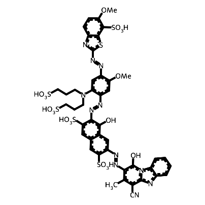 COc1cc(N=Nc2c(S(=O)(=O)O)cc3cc(S(=O)(=O)O)c(N=Nc4c(C)c(C#N)c5nc6ccccc6n5c4O)cc3c2O)c(N(CCCS(=O)(=O)O)CCCS(=O)(=O)O)cc1N=Nc1nc2ccc(OC)c(S(=O)(=O)O)c2s1